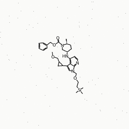 COCC1CC1c1cn(COCC[Si](C)(C)C)c2nccc(N[C@@H]3CC[C@H](C)N(C(=O)OCc4ccccc4)C3)c12